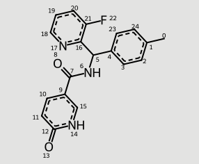 Cc1ccc(C(NC(=O)c2ccc(=O)[nH]c2)c2ncccc2F)cc1